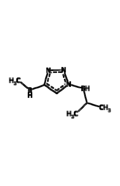 CBc1cn(BC(C)C)nn1